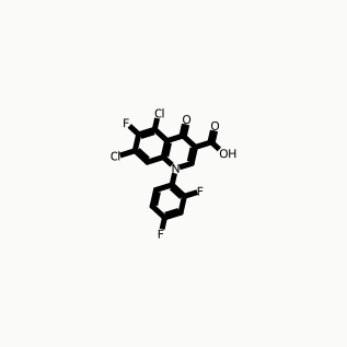 O=C(O)c1cn(-c2ccc(F)cc2F)c2cc(Cl)c(F)c(Cl)c2c1=O